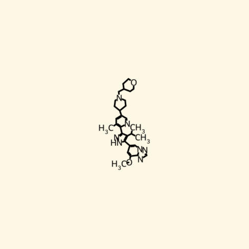 COc1cc(-c2[nH]nc(-c3ncc(C4CCN(CC5CCOCC5)CC4)cc3C)c2C(C)C)cn2ncnc12